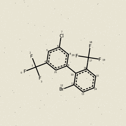 FC(F)(F)c1cc(Cl)cc(-c2c(Br)c[c]cc2C(F)(F)F)c1